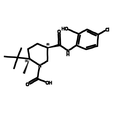 CC(C)(C)[C@@]1(C)CC[C@@H](C(=O)Nc2ccc(Cl)cc2O)CN1C(=O)O